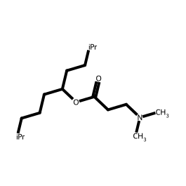 CC(C)CCCC(CCC(C)C)OC(=O)CCN(C)C